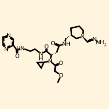 COCC(=O)N(C1CC1)[C@@H](CC(=O)NC[C@@H]1CCCN(C=NN)C1)C(=O)NCCNC(=O)c1cnccn1